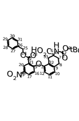 CC(C)(C)OC(=O)N[C@@]1(C(=O)O)CCc2cccc(Oc3ccc([N+](=O)[O-])cc3C(=O)OCc3ccccc3)c2C1